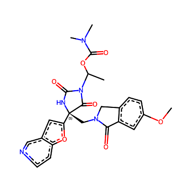 COc1ccc2c(c1)C(=O)N(C[C@@]1(c3cc4cnccc4o3)NC(=O)N(C(C)OC(=O)N(C)C)C1=O)C2